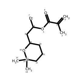 C=C(C)C(=O)OC(CC)CC1CCC[Si](C)(C)O1